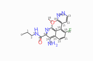 CCCNC(=O)c1ncc2c(-c3ccnnc3OC)c(F)ccc2c1N